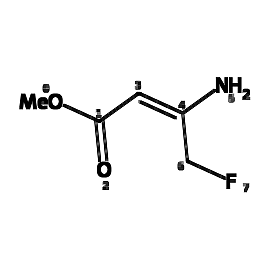 COC(=O)/C=C(/N)CF